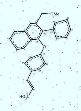 COCc1cc2ccccc2c(Oc2ccc(C=CC(=O)O)cc2)c1-c1ccccc1